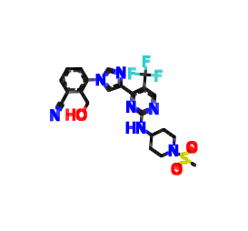 CS(=O)(=O)N1CCC(Nc2ncc(C(F)(F)F)c(-c3cn(-c4cccc(C#N)c4CO)cn3)n2)CC1